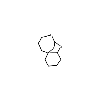 C1CCC23CCCOC(OC2C1)O3